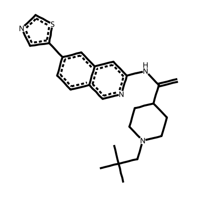 C=C(Nc1cc2cc(-c3cncs3)ccc2cn1)C1CCN(CC(C)(C)C)CC1